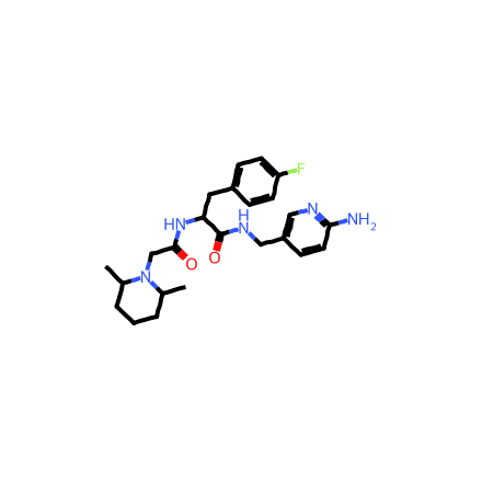 CC1CCCC(C)N1CC(=O)NC(Cc1ccc(F)cc1)C(=O)NCc1ccc(N)nc1